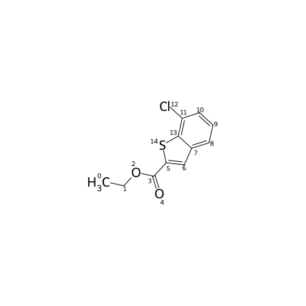 CCOC(=O)c1cc2cccc(Cl)c2s1